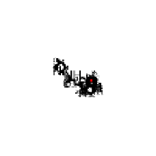 Cc1ccc(CNC(=O)CC[C@H]2O[C@@H]3O[C@]4(C)CC[C@H]5[C@H](C)CC[C@@H]([C@H]2C)[C@@]35OO4)nc1